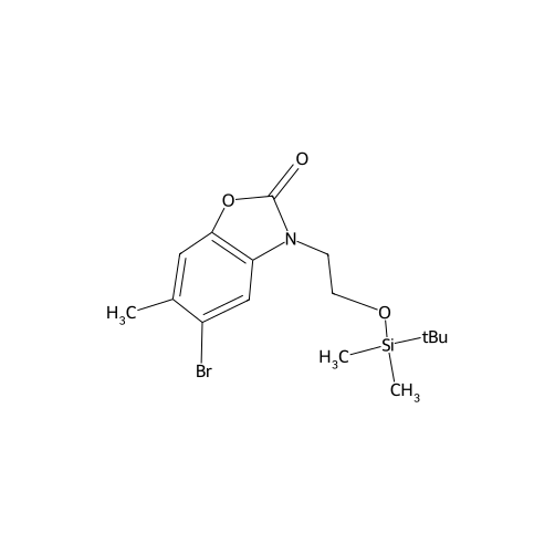 Cc1cc2oc(=O)n(CCO[Si](C)(C)C(C)(C)C)c2cc1Br